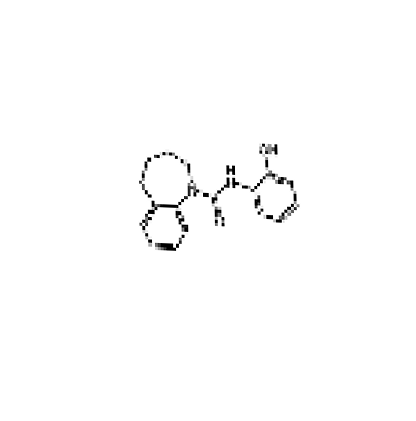 O=C(Nc1ccccc1O)N1CCCCc2ccccc21